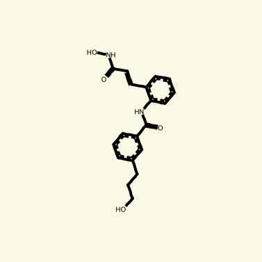 O=C(C=Cc1ccccc1NC(=O)c1cccc(CCCO)c1)NO